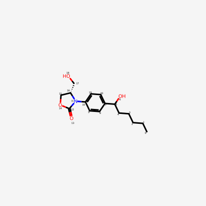 CCCCCC(O)c1ccc(N2C(=O)OC[C@@H]2CO)cc1